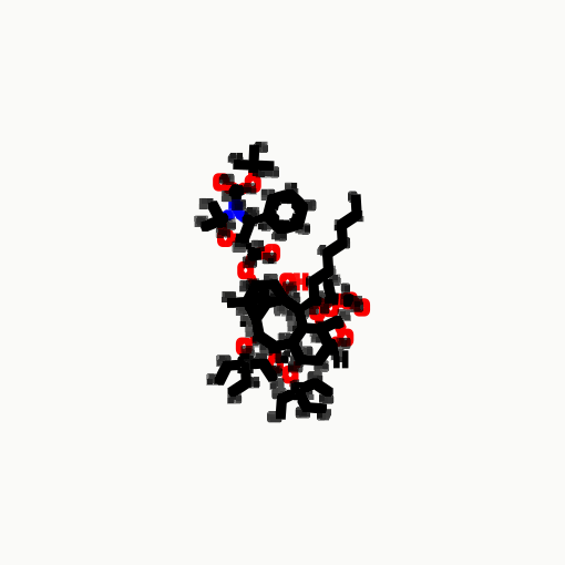 CCCCCCCC(OC=O)[C@H]1C2[C@](C)(C(=O)[C@H](O[Si](CC)(CC)CC)C3=C(C)[C@@H](OC(=O)[C@@H]4OC(C)(C)N(C(=O)OC(C)(C)C)[C@H]4c4ccccc4)C[C@]1(O)C3(C)C)[C@@H](O[Si](CC)(CC)CC)C[C@H]1OC[C@@]21OC(C)=O